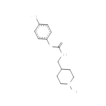 N#CB1CCC(CNC(=O)Oc2ccc([N+](=O)[O-])cc2)CC1